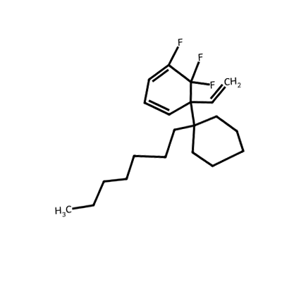 C=CC1(C2(CCCCCCC)CCCCC2)C=CC=C(F)C1(F)F